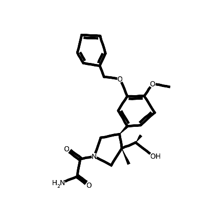 COc1ccc([C@@H]2CN(C(=O)C(N)=O)C[C@@]2(C)[C@@H](C)O)cc1OCc1ccccc1